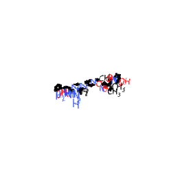 CC(CN1CCC(N2CCN3C(/C=C(\N)c4ccccc4O)=C(N)NC[C@H]3C2)CC1)Oc1cc([C@H](C(=O)N2CC[C@@H](O)C2)C(C)C)on1